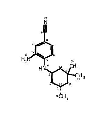 C[C@@H]1CC(Nc2ccc(C#N)cc2N)CC(C)(C)C1